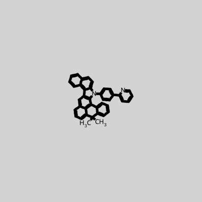 CC1(C)c2ccccc2-c2c3c1cccc3cc1c3c4ccccc4ccc3n(-c3ccc(-c4ccccn4)cc3)c21